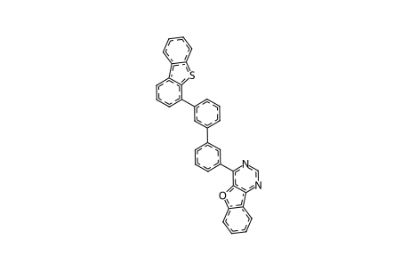 c1cc(-c2cccc(-c3cccc4c3sc3ccccc34)c2)cc(-c2ncnc3c2oc2ccccc23)c1